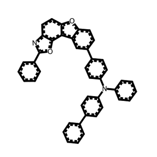 c1ccc(-c2ccc(N(c3ccccc3)c3ccc(-c4ccc5oc6ccc7nc(-c8ccccc8)oc7c6c5c4)cc3)cc2)cc1